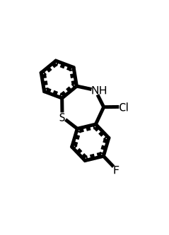 Fc1ccc2c(c1)C(Cl)Nc1ccccc1S2